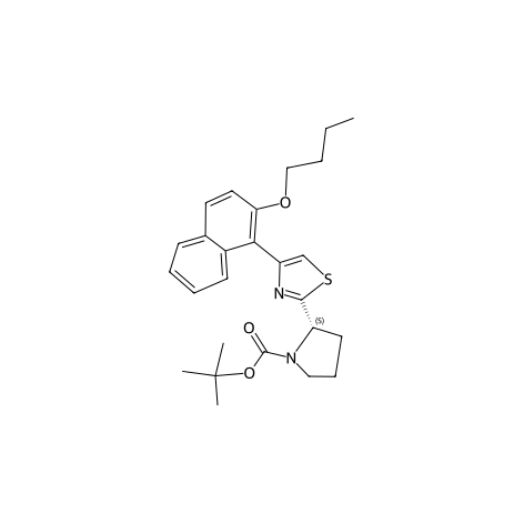 CCCCOc1ccc2ccccc2c1-c1csc([C@@H]2CCCN2C(=O)OC(C)(C)C)n1